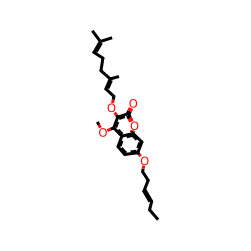 CC/C=C/CCOc1ccc2c(OC)c(OC/C=C(\C)CCC=C(C)C)c(=O)oc2c1